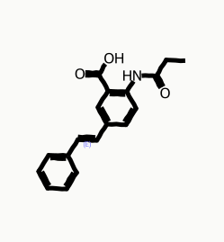 CCC(=O)Nc1ccc(/C=C/c2ccccc2)cc1C(=O)O